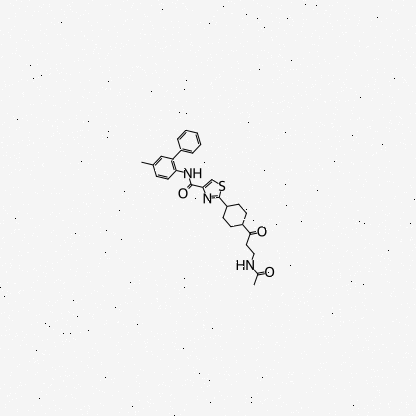 CC(=O)NCCC(=O)C1CCC(c2nc(C(=O)Nc3ccc(C)cc3-c3ccccc3)cs2)CC1